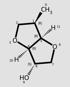 C[C@@H]1CO[C@H]2[C@@H]1OC[C@@H]2O